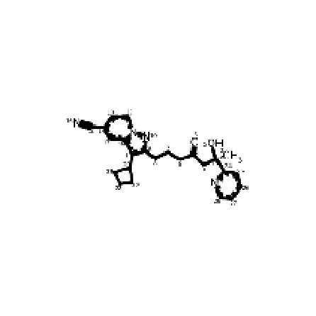 C[C@@](O)(CC(=O)CCCc1nn2ccc(C#N)cc2c1C1CCC1)c1ccccn1